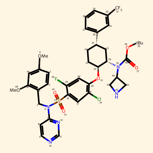 COc1ccc(CN(c2ccncn2)S(=O)(=O)c2cc(Cl)c(O[C@H]3CC[C@H](c4cccc(C(F)(F)F)c4)C[C@@H]3N(C(=O)OC(C)(C)C)C3CNC3)cc2F)c(OC)c1